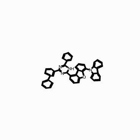 c1ccc(C2=NC(c3cccc(-c4ccccc4)c3)=NC(c3cccc4oc5c(-n6c7ccccc7c7ccccc76)cccc5c34)N2)cc1